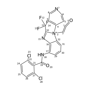 O=C=C[N+]1(c2ccncc2)C(C(F)(F)F)=Nc2c(NC(=O)c3c(Cl)cccc3Cl)cccc21